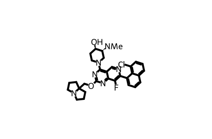 CN[C@@H]1CN(c2nc(OCC34CCCN3CCC4)nc3c(F)c(-c4cccc5cccc(Cl)c45)ncc23)CC[C@H]1O